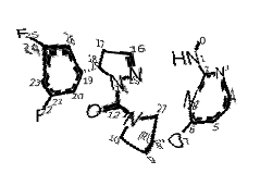 CNc1nccc(O[C@@H]2CCN(C(=O)N3N=CC[C@H]3c3cc(F)cc(F)c3)C2)n1